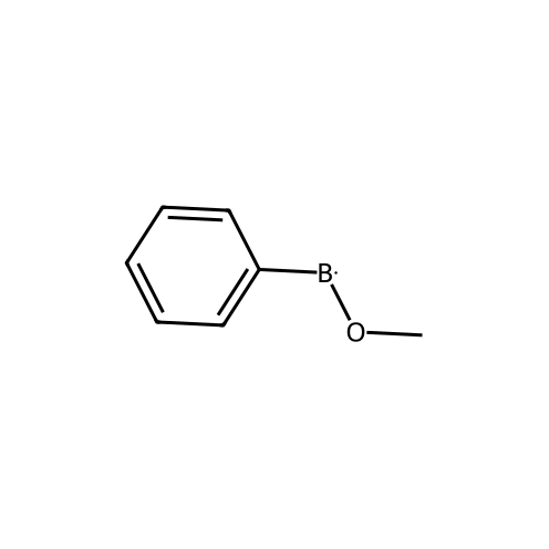 CO[B]c1ccccc1